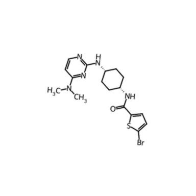 CN(C)c1ccnc(N[C@H]2CC[C@@H](NC(=O)c3ccc(Br)s3)CC2)n1